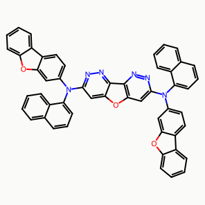 c1ccc2c(N(c3ccc4c(c3)oc3ccccc34)c3cc4oc5cc(N(c6ccc7c(c6)oc6ccccc67)c6cccc7ccccc67)nnc5c4nn3)cccc2c1